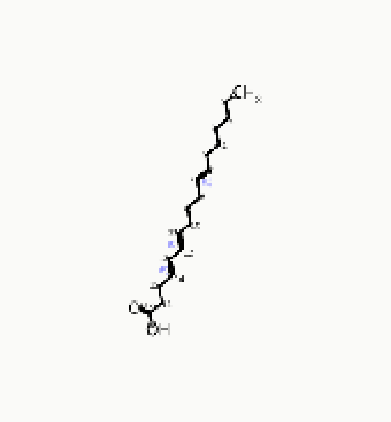 CCCCCC/C=C/CCC/C=C/C=C/CCC(=O)O